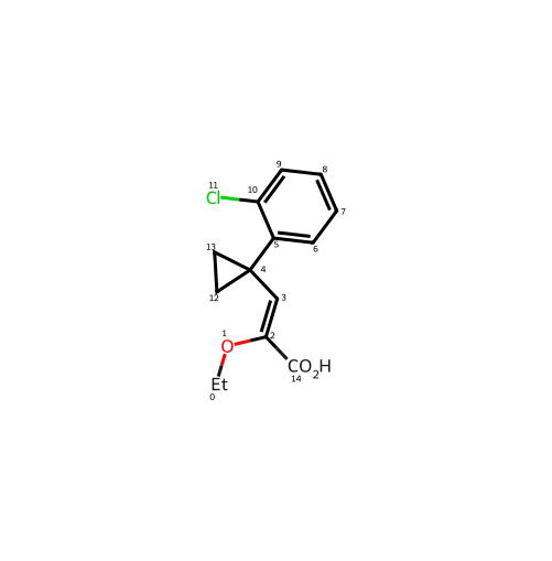 CCOC(=CC1(c2ccccc2Cl)CC1)C(=O)O